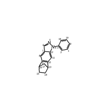 c1ccc(-n2ncc3cc4c(cc32)C2CCC4C2)cc1